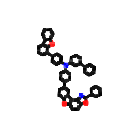 c1ccc(-c2cccc(N(c3ccc(-c4ccc5oc6ccc7oc(-c8ccccc8)nc7c6c5c4)cc3)c3ccc(-c4cccc5c4oc4ccccc45)cc3)c2)cc1